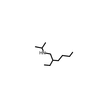 CCCCC(CC)CNC(C)C